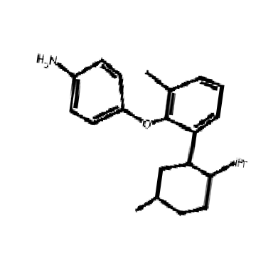 Cc1cccc(C2CC(C)CCC2C(C)C)c1Oc1ccc(N)cc1